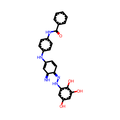 N=C1C=C(Nc2ccc(NC(=O)c3ccccc3)cc2)C=C/C1=N/Nc1cc(O)cc(O)c1O